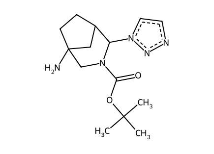 CC(C)(C)OC(=O)N1CC2(N)CCC(C2)C1n1ccnn1